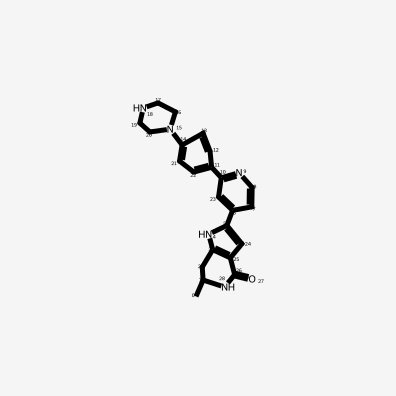 CC1Cc2[nH]c(-c3ccnc(-c4ccc(N5CCNCC5)cc4)c3)cc2C(=O)N1